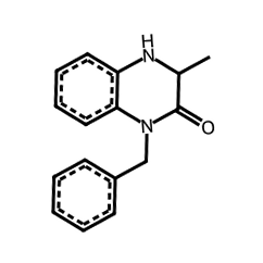 CC1Nc2ccccc2N(Cc2ccccc2)C1=O